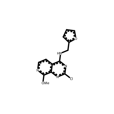 COc1nccc2c(NCc3ccco3)nc(Cl)nc12